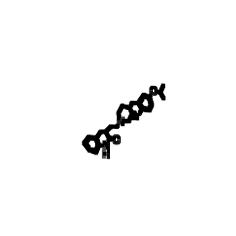 CC(C)Oc1ccc(Br)c(CC2CCN(CCC3Cc4ccccc4NC3=O)CC2)c1